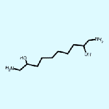 NCC(O)CCCCCCC(O)CN